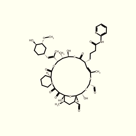 CO[C@@H]1C[C@H](/C=C(\C)[C@H]2OC(=O)[C@@H]3CCCCN3C(=O)C(=O)[C@]3(O)O[C@H]([C@@H](O)C[C@@H](C=O)C/C(C)=C/[C@@H](CCCC(=O)Nc4ccccn4)C(=O)C[C@H](O)[C@H]2C)[C@@H](C=O)C[C@H]3C)CC[C@H]1O